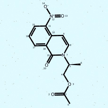 CC(=O)OC[C@H](C)n1ccc2c([N+](=O)[O-])cccc2c1=O